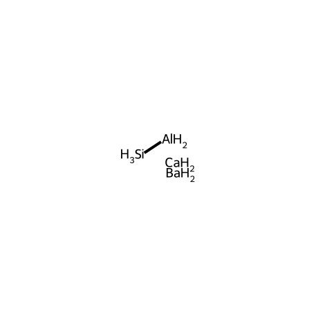 [AlH2][SiH3].[BaH2].[CaH2]